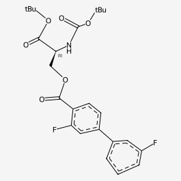 CC(C)(C)OC(=O)N[C@@H](COC(=O)c1ccc(-c2cccc(F)c2)cc1F)C(=O)OC(C)(C)C